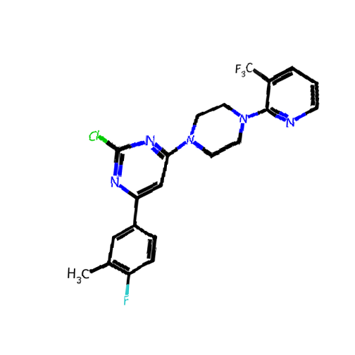 Cc1cc(-c2cc(N3CCN(c4ncccc4C(F)(F)F)CC3)nc(Cl)n2)ccc1F